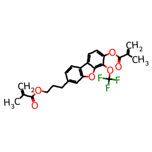 C=C(C)C(=O)OCCCc1ccc2c(c1)oc1c(OC(F)(F)F)c(OC(=O)C(=C)C)ccc12